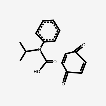 CC(C)N(C(=O)O)c1ccccc1.O=C1C=CC(=O)C=C1